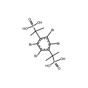 CC(C)(c1c(Br)c(Br)c(C(C)(C)P(=O)(O)O)c(Br)c1Br)P(=O)(O)O